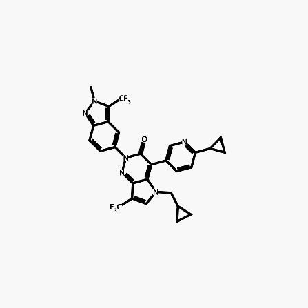 Cn1nc2ccc(-n3nc4c(C(F)(F)F)cn(CC5CC5)c4c(-c4ccc(C5CC5)nc4)c3=O)cc2c1C(F)(F)F